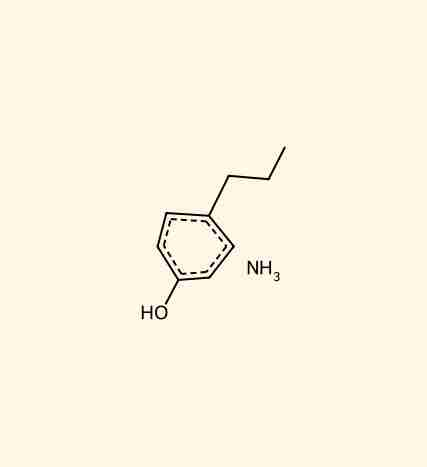 CCCc1ccc(O)cc1.N